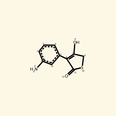 Nc1cccc(C2=C(O)CSC2=O)c1